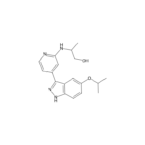 CC(CO)Nc1cc(-c2n[nH]c3ccc(OC(C)C)cc23)ccn1